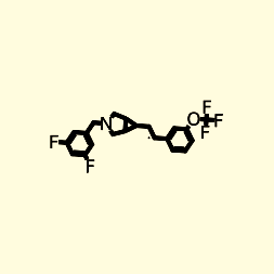 Fc1cc(F)cc(CN2CC3C(C[CH]c4cccc(OC(F)(F)F)c4)C3C2)c1